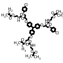 C=C(C)C(=O)OCCNC(=O)OC(COc1ccc(C(c2ccc(OCC(CSc3ccc(Cl)cc3)OC(=O)NCCOC(=O)C(=C)C)cc2)c2ccc(OCC(CS[C@@H](C)C(C)Cl)OC(=O)NCCOC(=O)C(=C)C)cc2)cc1)CSc1ccc(Cl)cc1